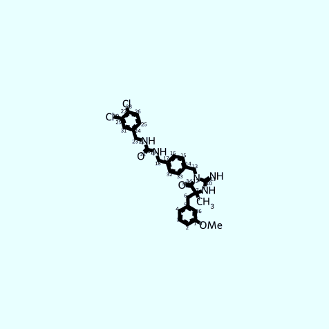 COc1cccc(CC2(C)NC(=N)N(Cc3ccc(CNC(=O)NCc4ccc(Cl)c(Cl)c4)cc3)C2=O)c1